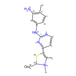 CC1=C(c2ccnc(Nc3ccc(C)c(N)c3)n2)SC(C=O)N1C